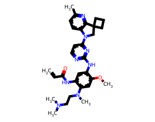 C=CC(=O)Nc1cc(Nc2nccc(N3CC4(CCC4)c4nc(C)ccc43)n2)c(OC)cc1N(C)CCN(C)C